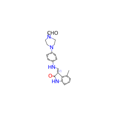 Cc1cccc2c1/C(=C/Nc1ccc(N3CCN(C=O)CC3)cc1)C(=O)N2